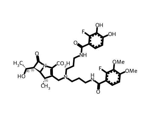 COc1ccc(C(=O)NCCCN(CCCNC(=O)c2ccc(O)c(O)c2F)CC2=C(C(=O)O)N3C(=O)[C@H]([C@@H](C)O)C3[C@H]2C)c(F)c1OC